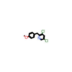 COc1ccc(Cc2ncc(Cl)cc2Cl)cc1